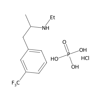 CCNC(C)Cc1cccc(C(F)(F)F)c1.Cl.O=P(O)(O)O